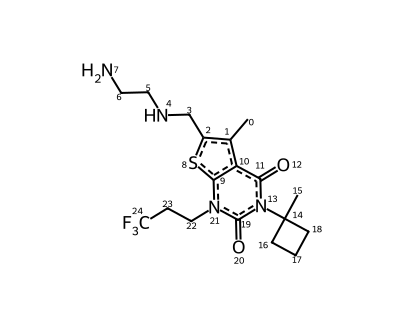 Cc1c(CNCCN)sc2c1c(=O)n(C1(C)CCC1)c(=O)n2CCC(F)(F)F